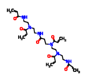 C=CC(=O)NCCN(CCNC(=O)CCN(CCN(CCNC(=O)C=C)C(=O)C=C)C(=O)C=C)C(=O)C=C